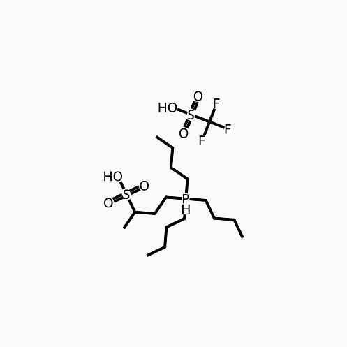 CCCC[PH](CCCC)(CCCC)CCC(C)S(=O)(=O)O.O=S(=O)(O)C(F)(F)F